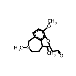 CCC12CCN(C)Cc3ccc(OC)c(c31)OC2CC=O